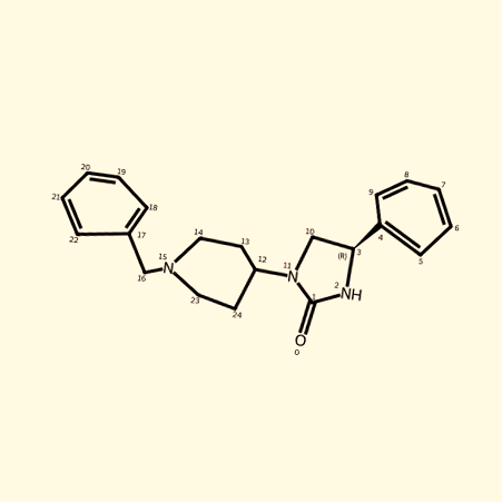 O=C1N[C@H](c2ccccc2)CN1C1CCN(Cc2ccccc2)CC1